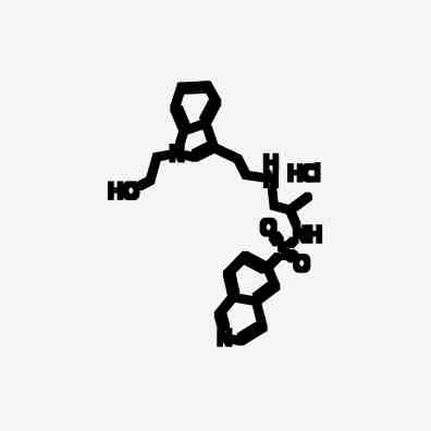 CC(CNCCc1cn(CCO)c2ccccc12)NS(=O)(=O)c1ccc2cnccc2c1.Cl